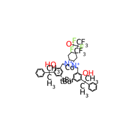 CC(C)(C)c1cc(C=[N+]2[Co][N+](=Cc3cc(C(C)(C)C)cc(C(C)(C)c4ccccc4)c3O)C3CCCCC32)c(O)c(C(C)(C)c2ccccc2)c1.[O-]C(F)(F)C(F)(C(F)(F)F)C(F)(F)F